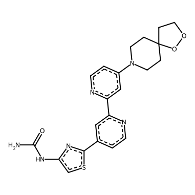 NC(=O)Nc1csc(-c2ccnc(-c3cc(N4CCC5(CCOO5)CC4)ccn3)c2)n1